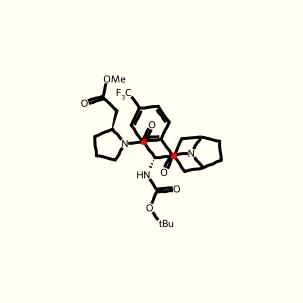 COC(=O)C[C@@H]1CCCN1C(=O)[C@@H](NC(=O)OC(C)(C)C)C1CC2CCC(C1)N2C(=O)c1ccc(C(F)(F)F)cc1